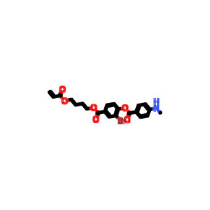 C=CC(=O)OCCCCOC(=O)c1ccc(OC(=O)c2ccc(NC)cc2)c(Br)c1